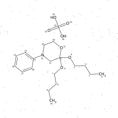 CCCCOC1(OCCCC)CN(c2ccccc2)CCO1.O=S(=O)(O)O